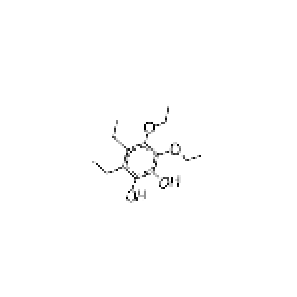 CCOc1c(O)c(O)c(CC)c(CC)c1OCC